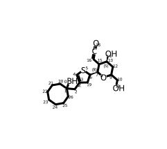 BC1(CC2=CSC([C@@H]3OC(CO)C[C@H](O)C3C=C=O)C2)CCCCCCC1